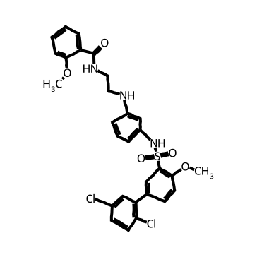 COc1ccccc1C(=O)NCCNc1cccc(NS(=O)(=O)c2cc(-c3cc(Cl)ccc3Cl)ccc2OC)c1